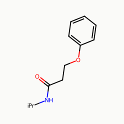 CC(C)NC(=O)CCOc1ccccc1